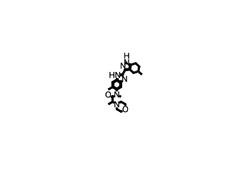 Cc1cc2[nH]c(-c3n[nH]c4c3CC(C)CC4)nc2cc1N(C)C(=O)C(C)N1CCOCC1